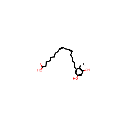 Cc1c(O)cc(O)cc1CCCCC/C=C\C/C=C\CCCCCCCC(=O)O